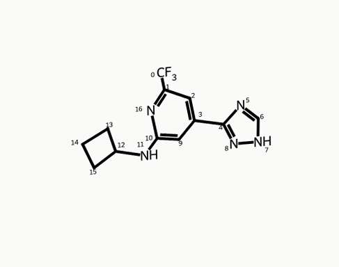 FC(F)(F)c1cc(-c2nc[nH]n2)cc(NC2CCC2)n1